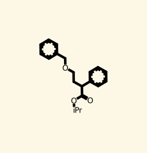 CC(C)OC(=O)C(CCOCc1ccccc1)c1ccccc1